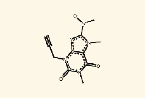 C#CCn1c(=O)n(C)c(=O)c2c1nc([S+](C)[O-])n2C